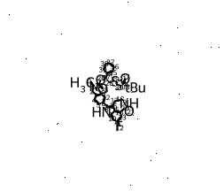 CN(Cc1ccc(-c2[nH]c3cc(F)cc4c3c2CCNC4=O)cc1)C(=O)O[C@H](CSSC(=O)C(C)(C)C)c1ccccc1